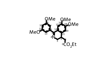 CCOC(=O)CC1CN=C(c2cc(OC)cc(OC)c2)c2cc(OC)c(OC)cc21